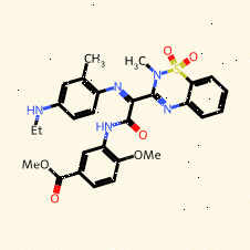 CCNc1ccc(/N=C(\C(=O)Nc2cc(C(=O)OC)ccc2OC)C2=Nc3ccccc3S(=O)(=O)N2C)c(C)c1